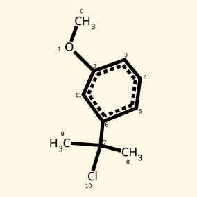 COc1cccc(C(C)(C)Cl)c1